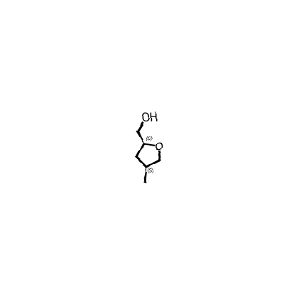 C[C@@H]1CO[C@H](CO)C1